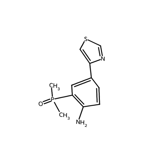 CP(C)(=O)c1cc(-c2cscn2)ccc1N